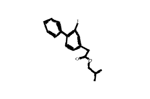 CC(C)COC(=O)Cc1ccc(-c2ccccc2)c(F)c1